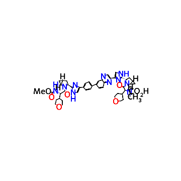 COC(=O)N[C@H](C(=O)N1[C@@H]2C[C@H]2C[C@H]1c1nc(-c2ccc(-c3ccc4nc(-c5c[nH]c([C@@H]6C[C@H]7C[C@H]7N6C(=O)[C@H](C6CCOCC6)N(C)C(=O)O)n5)cnc4c3)cc2)c[nH]1)C1CCOCC1